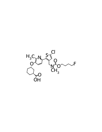 Cc1nc(-c2sc(Cl)cc2CN(C)C(=O)OCCCCF)ccc1O[C@H]1CCC[C@H](C(=O)O)C1